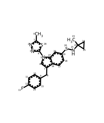 Cc1nnc(-n2cc(Cc3ccc(F)cc3)c3ccc(SNC4(C)CC4)cc32)s1